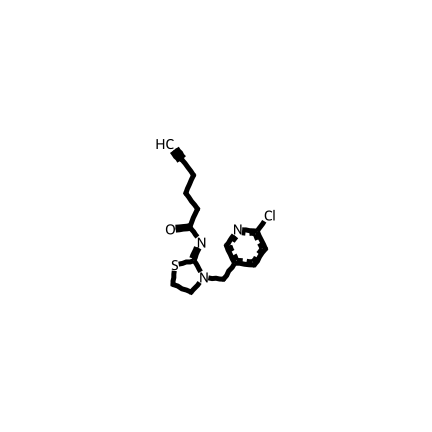 C#CCCCC(=O)/N=C1\SCCN1Cc1ccc(Cl)nc1